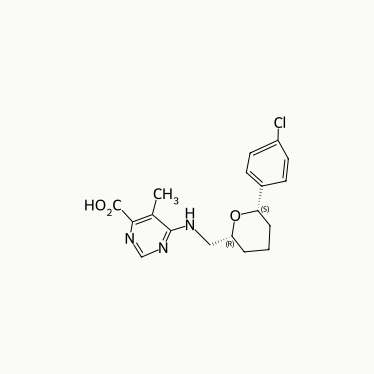 Cc1c(NC[C@H]2CCC[C@@H](c3ccc(Cl)cc3)O2)ncnc1C(=O)O